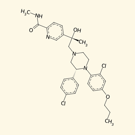 CCCOc1ccc(N2CCN(C[C@@](C)(O)c3ccc(C(=O)NC)nc3)C[C@H]2c2ccc(Cl)cc2)c(Cl)c1